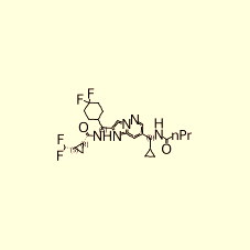 CCCC(=O)N[C@@H](c1cnn2cc([C@@H](NC(=O)[C@@H]3C[C@@H]3C(F)F)C3CCC(F)(F)CC3)nc2c1)C1CC1